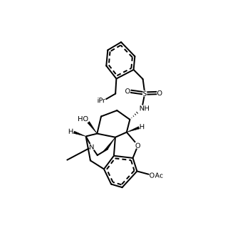 CC(=O)Oc1ccc2c3c1O[C@H]1[C@@H](NS(=O)(=O)Cc4ccccc4CC(C)C)CC[C@@]4(O)[C@@H](C2)N(C)CC[C@]314